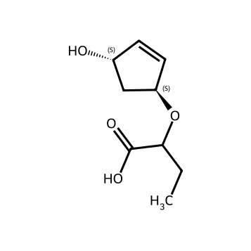 CCC(O[C@@H]1C=C[C@@H](O)C1)C(=O)O